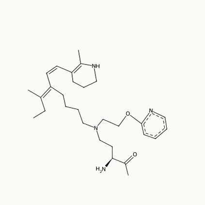 CC/C(C)=C(/C=C\C1=C(C)NCCC1)CCCCN(CCOc1ccccn1)CC[C@H](N)C(C)=O